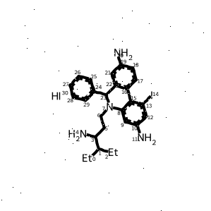 CCC(CC)C(N)CCN1c2cc(N)cc(I)c2-c2ccc(N)cc2C1c1ccccc1.I